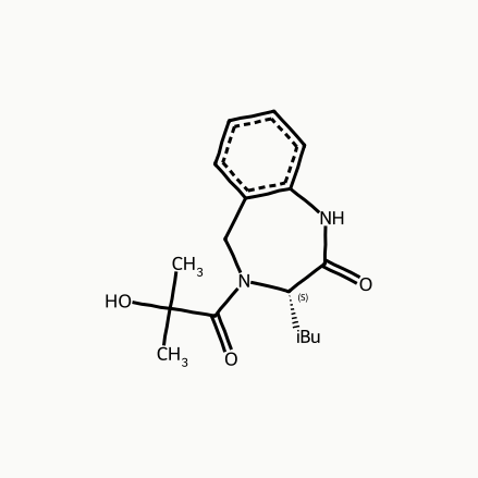 CCC(C)[C@H]1C(=O)Nc2ccccc2CN1C(=O)C(C)(C)O